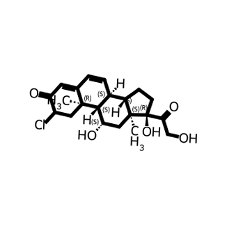 C[C@]12CC(Cl)C(=O)C=C1C=C[C@@H]1[C@@H]2[C@@H](O)C[C@@]2(C)[C@H]1CC[C@]2(O)C(=O)CO